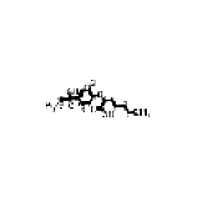 CCCCCC(Oc1ccc(C(C)(C)CC)cc1Cl)C(=O)O